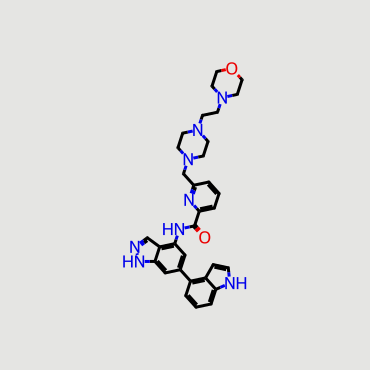 O=C(Nc1cc(-c2cccc3[nH]ccc23)cc2[nH]ncc12)c1cccc(CN2CCN(CCN3CCOCC3)CC2)n1